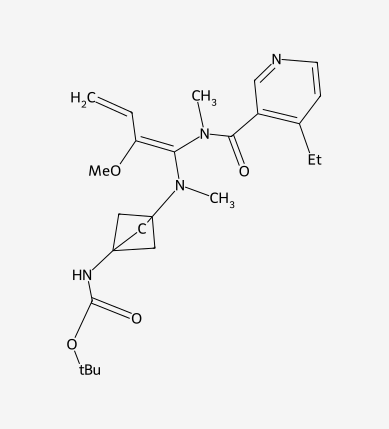 C=C/C(OC)=C(\N(C)C(=O)c1cnccc1CC)N(C)C12CC(NC(=O)OC(C)(C)C)(C1)C2